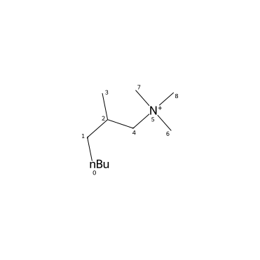 CCCCCC(C)C[N+](C)(C)C